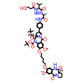 COc1cc2c(cc1OCCCCCOc1cc3c(cc1OC)C(=O)N1C=C(c4ccc(NC(=O)[C@H](C)NC(=O)[C@@H](NC(=O)CCO)C(C)C)cc4)C[C@H]1[C@H](O[Si](C)(C)C(C)(C)C)N3C(=O)OC(C)(C)C)NC(=O)[C@@H]1CCCN1C2=O